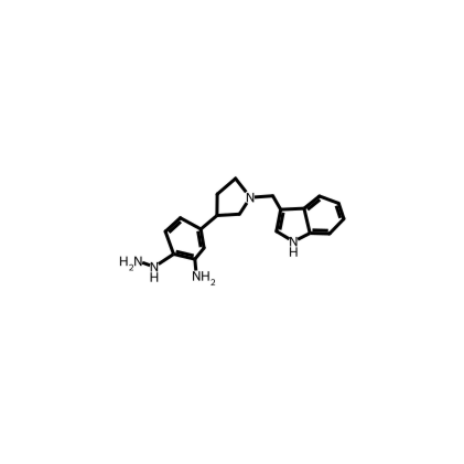 NNc1ccc(C2CCN(Cc3c[nH]c4ccccc34)C2)cc1N